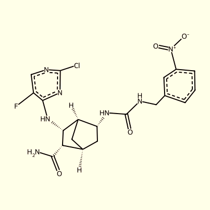 NC(=O)[C@H]1[C@H]2C[C@@H]([C@H]1Nc1nc(Cl)ncc1F)[C@H](NC(=O)NCc1cccc([N+](=O)[O-])c1)C2